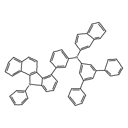 c1ccc(-c2cc(-c3ccccc3)cc(N(c3cccc(-c4cccc5c4c4ccc6ccccc6c4n5-c4ccccc4)c3)c3ccc4ccccc4c3)c2)cc1